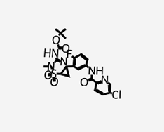 CN1C(NC(=O)OC(C)(C)C)=NC2(c3cc(NC(=O)c4ccc(Cl)cn4)ccc3F)CC2S1(=O)=O